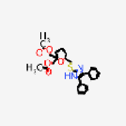 CC(=O)OCC1(COC(C)=O)CCCC(CSc2nc(-c3ccccc3)c(-c3ccccc3)[nH]2)O1